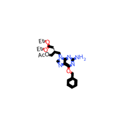 CCOC(C[C@@H](COC(C)=O)Cn1cnc2c(OCc3ccccc3)nc(N)nc21)OCC